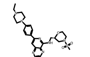 CCN1CCN(c2ccc(-c3cc4nccnc4c(NC[C@@H]4CN(S(C)(=O)=O)CCO4)n3)cc2)CC1